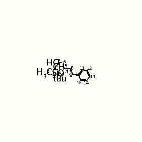 CC(C)(C)[Si](C)(C)O[C@H](CO)CCc1ccccc1